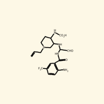 C=CCN1CCC(NC(=O)O)C(NC(C=O)NC(=O)c2cc(C(F)(F)F)ccc2N)C1